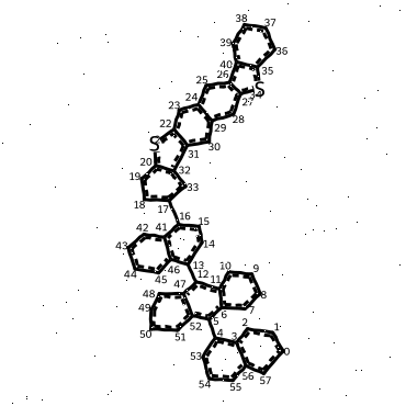 c1ccc2c(-c3c4ccccc4c(-c4ccc(-c5ccc6sc7cc8cc9c(cc8cc7c6c5)sc5ccccc59)c5ccccc45)c4ccccc34)cccc2c1